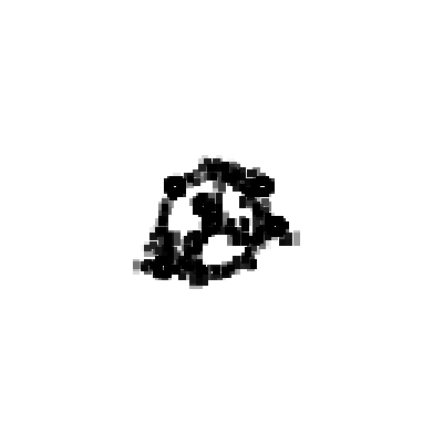 CCC[C@@H]1NC(=O)[C@H](Cc2c[nH]c3ncccc23)NC(=O)[C@H]([C@@H](C)O)NC(=O)[C@@H]2CCCCNC(=O)CC[C@H](NC1=O)C(=O)N[C@@H](Cc1ccc(O)cc1)C(=O)NC(C1CCCCC1)C(=O)N[C@@H]([C@@H](C)O)C(=O)N[C@@H](C(N)=O)CSCc1cccc(c1)CSCCC(=O)N[C@@H](C(C)(C)C)C(=O)N[C@@H](Cc1ccc(O)cc1)C(=O)N2